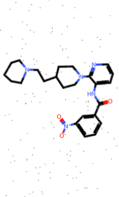 O=C(Nc1cccnc1N1CCC(CCN2CCCCC2)CC1)c1cccc([N+](=O)[O-])c1